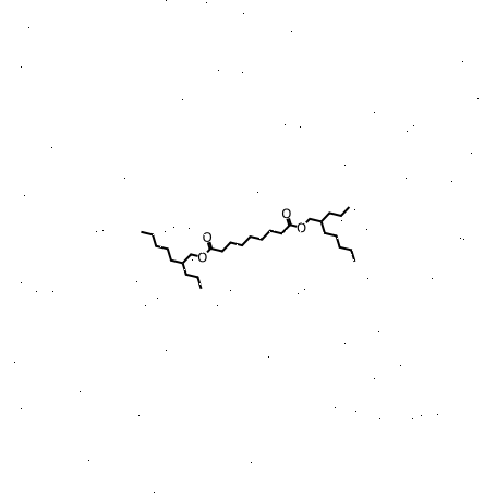 CCCCCC(CCC)COC(=O)CCCCCCCC(=O)OCC(CCC)CCCCC